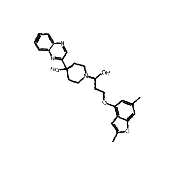 Cc1cc(OCCC(O)N2CCC(O)(c3cnc4ccccc4n3)CC2)c2cc(C)oc2c1